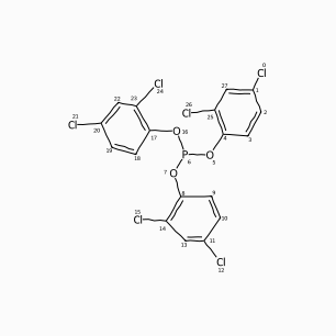 Clc1ccc(OP(Oc2ccc(Cl)cc2Cl)Oc2ccc(Cl)cc2Cl)c(Cl)c1